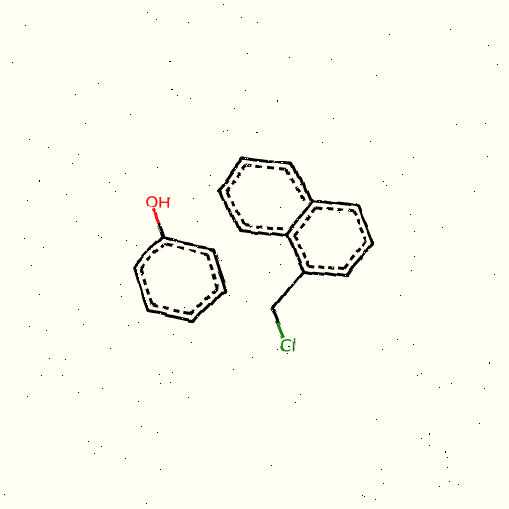 ClCc1cccc2ccccc12.Oc1ccccc1